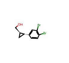 OC[C@@H]1C[C@H]1c1ccc(Br)c(Br)c1